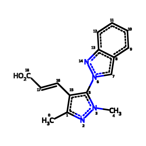 Cc1nn(C)c(-n2cc3ccccc3n2)c1/C=C/C(=O)O